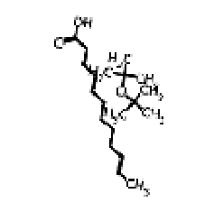 CC(C)(C)OC(C)(C)C.CCCCCCCCCCCC(=O)O